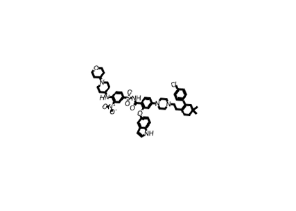 CC1(C)CCC(CCN2CCN(c3ccc(C(=O)NS(=O)(=O)c4ccc(NC5CCN(C6CCOCC6)CC5)c([N+](=O)[O-])c4)c(Oc4ccc5[nH]ccc5c4)c3)CC2)=C(c2ccc(Cl)cc2)C1